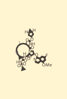 COc1cc(F)cc2c(O[C@@H]3C[C@H]4C(=O)N[C@]5(C(=O)NS(=O)(=O)C6CC6)CC5/C=C\CC[C@H](C)C[C@@H](C)[C@H](NC(=O)O[C@@H]5C[C@@H]6C[C@@H]6C5)C(=O)N4C3)nccc12